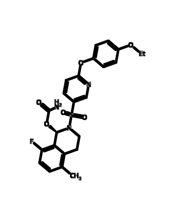 CCOc1ccc(Oc2ccc(S(=O)(=O)N3CCc4c(C)ccc(F)c4[C@H]3OC(N)=O)cn2)cc1